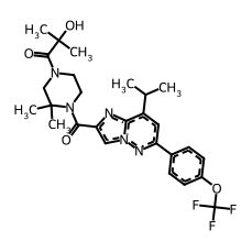 CC(C)c1cc(-c2ccc(OC(F)(F)F)cc2)nn2cc(C(=O)N3CCN(C(=O)C(C)(C)O)CC3(C)C)nc12